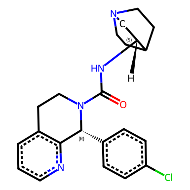 O=C(N[C@@H]1CN2CCC1CC2)N1CCc2cccnc2[C@H]1c1ccc(Cl)cc1